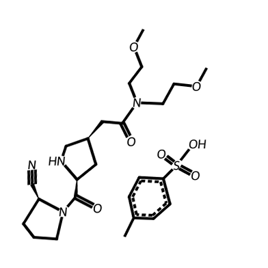 COCCN(CCOC)C(=O)C[C@@H]1CN[C@H](C(=O)N2CCC[C@H]2C#N)C1.Cc1ccc(S(=O)(=O)O)cc1